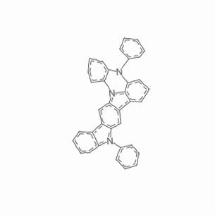 c1ccc(N2c3ccccc3-n3c4cc5c6ccccc6n(-c6ccccc6)c5cc4c4cccc2c43)cc1